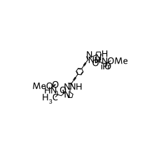 COC(=O)NCC(C)CC(=O)N1CCCC1c1ncc(C#Cc2ccc(C#Cc3cnc(C4CCCN4C(=O)C(NC(=O)OC)C(C)C)[nH]3)cc2)[nH]1